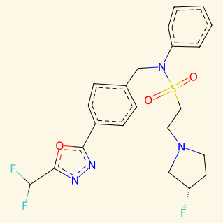 O=S(=O)(CCN1CC[C@H](F)C1)N(Cc1ccc(-c2nnc(C(F)F)o2)cc1)c1ccccc1